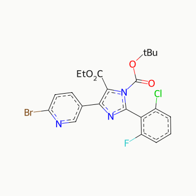 CCOC(=O)c1c(-c2ccc(Br)nc2)nc(-c2c(F)cccc2Cl)n1C(=O)OC(C)(C)C